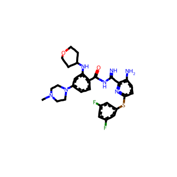 CN1CCN(c2ccc(C(=O)NC(=N)c3nc(Sc4cc(F)cc(F)c4)ccc3N)c(NC3CCOCC3)c2)CC1